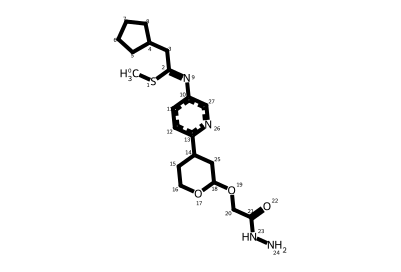 CS/C(CC1CCCC1)=N\c1ccc(C2CCOC(OCC(=O)NN)C2)nc1